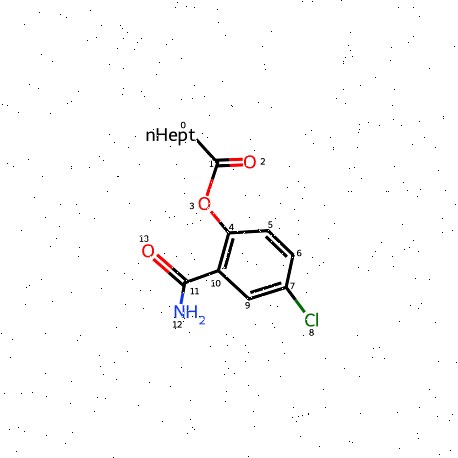 CCCCCCCC(=O)Oc1ccc(Cl)cc1C(N)=O